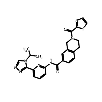 CC(C)n1cnnc1-c1cccc(NC(=O)c2ccc3c(c2)CN(C(=O)c2nccs2)CC3)n1